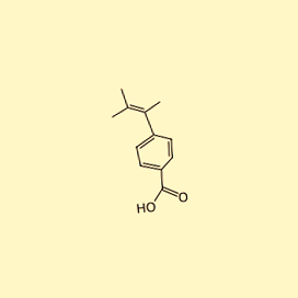 CC(C)=C(C)c1ccc(C(=O)O)cc1